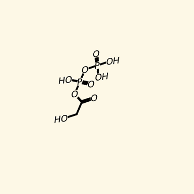 O=C(CO)OP(=O)(O)OP(=O)(O)O